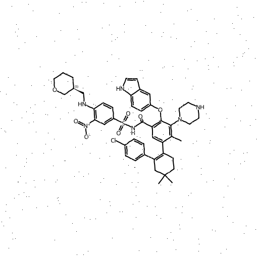 Cc1c(C2=C(c3ccc(Cl)cc3)CC(C)(C)CC2)cc(C(=O)NS(=O)(=O)c2ccc(NC[C@@H]3CCCOC3)c([N+](=O)[O-])c2)c(Oc2ccc3[nH]ccc3c2)c1N1CCNCC1